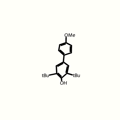 COc1ccc(-c2cc(C(C)(C)C)c(O)c(C(C)(C)C)c2)cc1